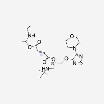 CCNC(C)OC(=O)/C=C/C(=O)O[C@@H](CNC(C)(C)C)COc1nsnc1N1CCOCC1